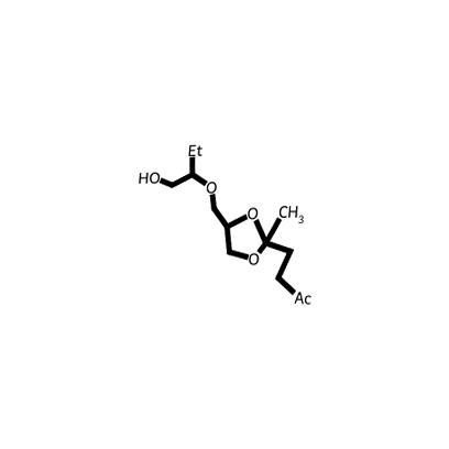 CCC(CO)OCC1COC(C)(CCC(C)=O)O1